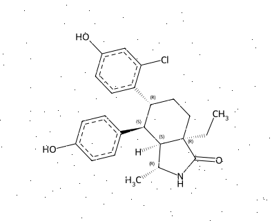 CC[C@@]12CC[C@@H](c3ccc(O)cc3Cl)[C@H](c3ccc(O)cc3)[C@@H]1[C@@H](C)NC2=O